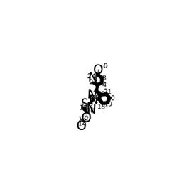 COc1ccc(-c2nn(-c3nc(OC=O)cs3)c3ccccc23)cn1